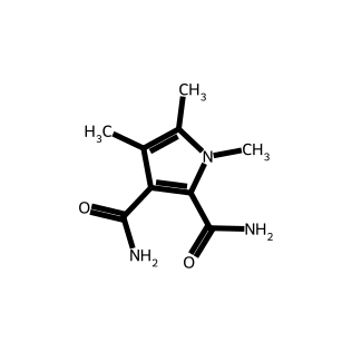 Cc1c(C(N)=O)c(C(N)=O)n(C)c1C